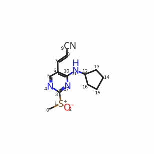 C[S+]([O-])c1ncc(C=CC#N)c(NC2CCCC2)n1